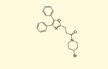 O=C(CCc1nc(-c2ccccc2)c(-c2ccccc2)o1)N1CCC(Br)CC1